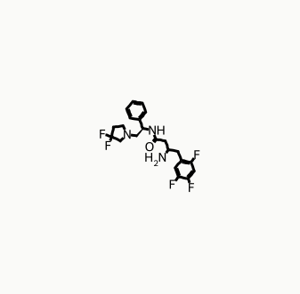 NC(CC(=O)N[C@@H](CN1CCC(F)(F)C1)c1ccccc1)Cc1cc(F)c(F)cc1F